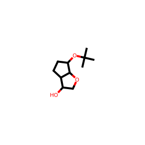 CC(C)(C)OC1CCC2C(O)COC12